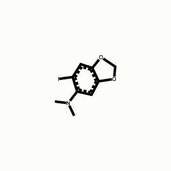 CN(C)c1cc2c(cc1I)OCO2